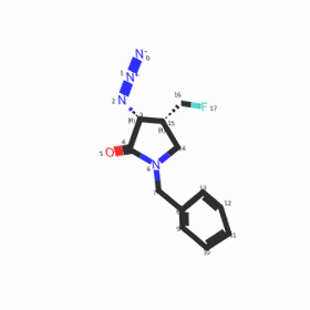 [N-]=[N+]=N[C@H]1C(=O)N(Cc2ccccc2)C[C@H]1CF